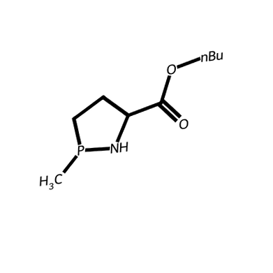 CCCCOC(=O)C1CCP(C)N1